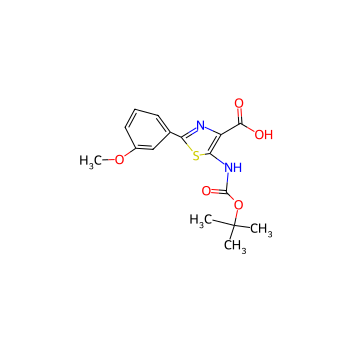 COc1cccc(-c2nc(C(=O)O)c(NC(=O)OC(C)(C)C)s2)c1